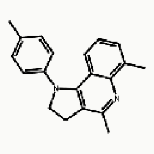 Cc1ccc(N2CCc3c(C)nc4c(C)cccc4c32)cc1